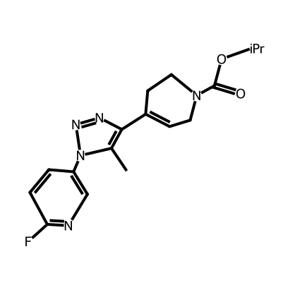 Cc1c(C2=CCN(C(=O)OC(C)C)CC2)nnn1-c1ccc(F)nc1